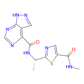 CNC(=O)c1cnc([C@H](C)NC(=O)c2ncnc3[nH]ncc23)s1